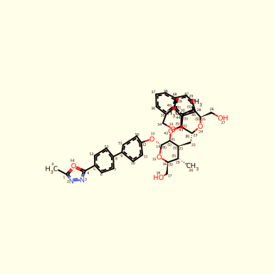 Cc1nnc(-c2ccc(-c3ccc(O[C@H]4O[C@H](CO)[C@@H](C)[C@H](C[C@H]5O[C@H](CO)[C@@H](C)[C@H](C)[C@@H]5OCc5ccccc5)[C@@H]4OCc4ccccc4)cc3)cc2)o1